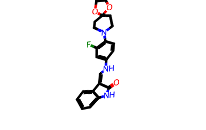 O=C1Nc2ccccc2C1=CNc1ccc(N2CCC3(CC2)OCCO3)c(F)c1